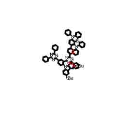 CC(C)(C)c1ccc2c(c1)c1cc(C(C)(C)C)ccc1n2-c1ccc(-c2nc(-c3ccccc3)nc(-c3ccccc3)n2)cc1-c1nc(-c2ccccc2)nc(-c2ccc(-c3ccc4c5c3N(c3ccccc3)c3ccccc3B5c3ccccc3N4c3ccccc3)cc2)n1